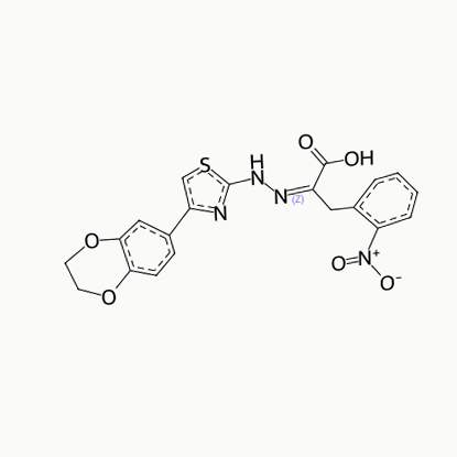 O=C(O)/C(Cc1ccccc1[N+](=O)[O-])=N\Nc1nc(-c2ccc3c(c2)OCCO3)cs1